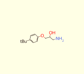 CC(C)(C)c1ccc(OCC(O)CN)cc1